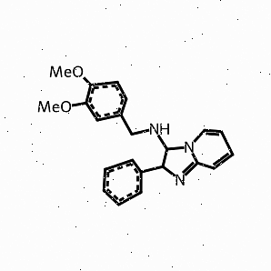 COc1ccc(CNC2C(c3ccccc3)N=C3C=CC=CN32)cc1OC